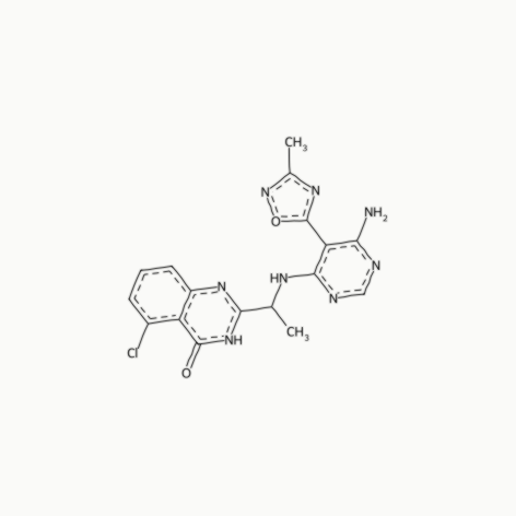 Cc1noc(-c2c(N)ncnc2NC(C)c2nc3cccc(Cl)c3c(=O)[nH]2)n1